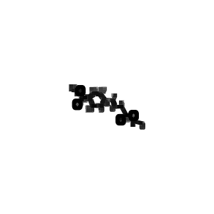 CCOC(=O)C/C=C/c1ccc(C(=O)OC)cc1